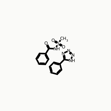 CS(=O)(=O)NC(=O)c1cc[c]cc1.[c]1ccc(-c2nnn[nH]2)cc1